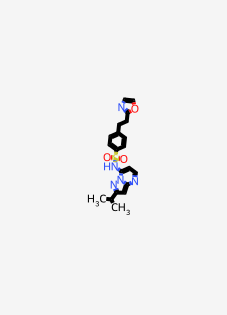 CC(C)c1cc2nccc(NS(=O)(=O)c3ccc(CCc4ncco4)cc3)n2n1